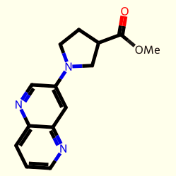 COC(=O)C1CCN(c2cnc3cccnc3c2)C1